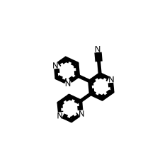 N#Cc1nccc(-c2ccncn2)c1-c1ccncn1